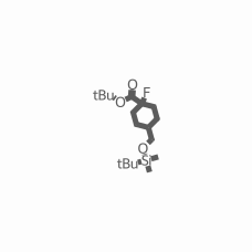 CC(C)(C)OC(=O)C1(F)CCC(CO[Si](C)(C)C(C)(C)C)CC1